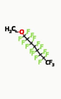 C=COC(F)(F)C(F)(F)C(F)(F)C(F)(F)C(F)(F)C(F)(F)C(F)(F)C(F)(F)F